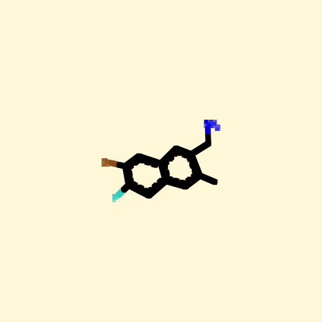 Cc1cc2cc(F)c(Br)cc2cc1CN